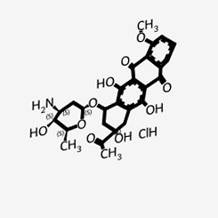 COc1cccc2c1C(=O)c1c(O)c3c(c(O)c1C2=O)C[C@@](O)(C(C)=O)CC3O[C@@H]1C[C@H](N)[C@H](O)[C@H](C)O1.Cl